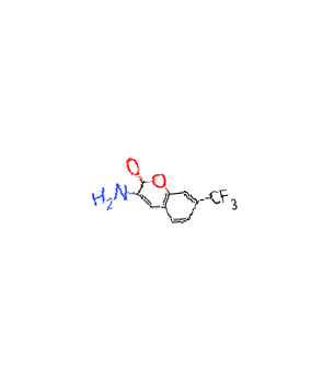 Nc1cc2ccc(C(F)(F)F)cc2oc1=O